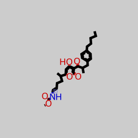 CCCCCc1ccc(CC(C)C(=O)c2c(O)cc(C(C)CC/C=C/NC(=O)OC)oc2=O)cc1